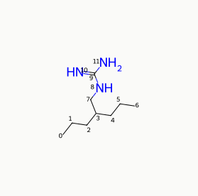 CCCC(CCC)CNC(=N)N